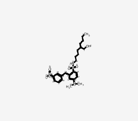 CCCCC(CO)CCCCNS(=O)(=O)c1ccc(N(C)C)cc1Cc1cccc([N+](=O)[O-])c1